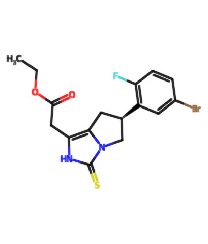 CCOC(=O)Cc1[nH]c(=S)n2c1C[C@@H](c1cc(Br)ccc1F)C2